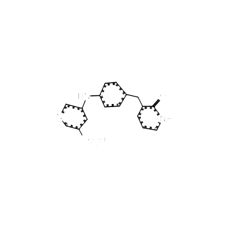 CCOC(=O)c1cncc(Nc2ccc(Cc3ccc[nH]c3=O)cc2)c1